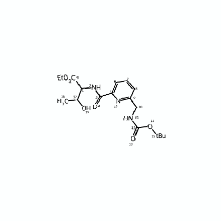 CCOC(=O)C(NC(=O)c1cccc(CNC(=O)OC(C)(C)C)n1)C(C)O